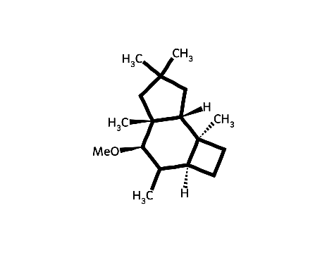 CO[C@@H]1C(C)[C@@H]2CC[C@]2(C)[C@H]2CC(C)(C)C[C@]21C